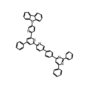 c1ccc(-c2cc(-c3ccc(-c4ccc(-c5cc(-c6ccccc6)nc(-c6ccccc6)n5)cc4)cn3)nc(-c3ccc(-n4c5ccccc5c5ccccc54)cn3)c2)cc1